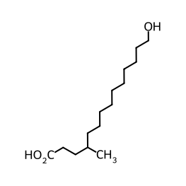 CC(CCCCCCCCCCO)CCC(=O)O